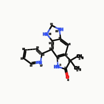 CC1(C)C(=O)Nc2c1cc1c(c2-c2ccccn2)NCN1